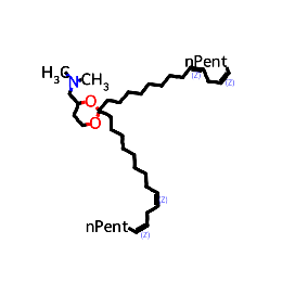 CCCCC/C=C\C/C=C\CCCCCCCCC1(CCCCCCCC/C=C\C/C=C\CCCCC)OCCC(CN(C)C)O1